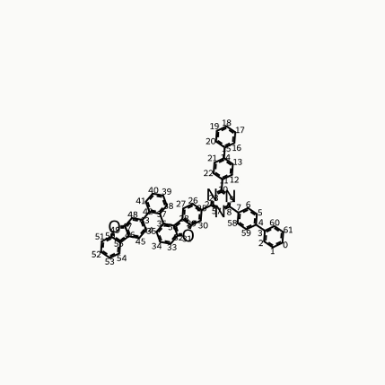 c1ccc(-c2ccc(-c3nc(-c4ccc(-c5ccccc5)cc4)nc(-c4ccc5c(c4)oc4cccc(-c6ccccc6-c6ccc7c(c6)oc6ccccc67)c45)n3)cc2)cc1